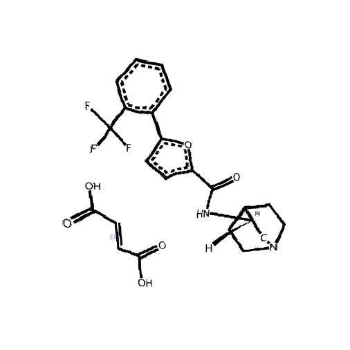 O=C(N[C@H]1CN2CCC1CC2)c1ccc(-c2ccccc2C(F)(F)F)o1.O=C(O)/C=C/C(=O)O